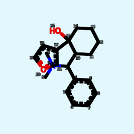 CN(C)C(c1ccccc1)C1CCCCC1(O)c1ccoc1